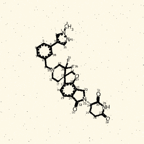 Cn1cc(-c2cccc(CN3CC[C@]4(COc5c4ccc4c5CN([C@H]5CCC(=O)NC5=O)C4=O)C(F)(F)C3)c2)cn1